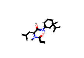 C=CC(=O)N(C)[C@@H](CC(C)C)C(=O)NC1CCCC(C)(C(C)C)C1